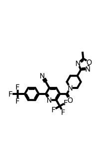 Cc1nc(C2CCN(C(=O)c3cc(C#N)c(-c4ccc(C(F)(F)F)cc4)nc3C(F)(F)F)CC2)no1